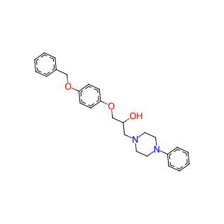 OC(COc1ccc(OCc2ccccc2)cc1)CN1CCN(c2ccccc2)CC1